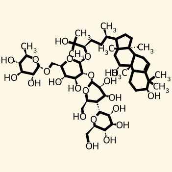 C[C@H](CC[C@@H](O[C@@H]1O[C@H](CO[C@H]2O[C@H](C)[C@@H](O)[C@H](O)[C@H]2O)[C@@H](O)[C@H](O)[C@H]1O[C@@H]1O[C@H](CO)C([C@H]2O[C@H](CO)[C@@H](O)[C@H](O)[C@H]2O)[C@H](O)[C@H]1O)C(C)(C)O)C1CC[C@@]2(C)C3CC=C4C(CC[C@H](O)C4(C)C)[C@]3(C)[C@H](O)C[C@]12C